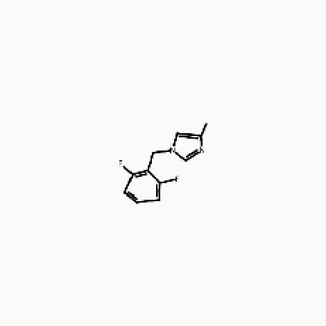 Cc1cn(Cc2c(F)cccc2F)cn1